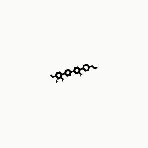 CCCC1CC=C(c2ccc(-c3ccc(-c4ccc(CC)c(F)c4F)cc3)cc2F)CC1